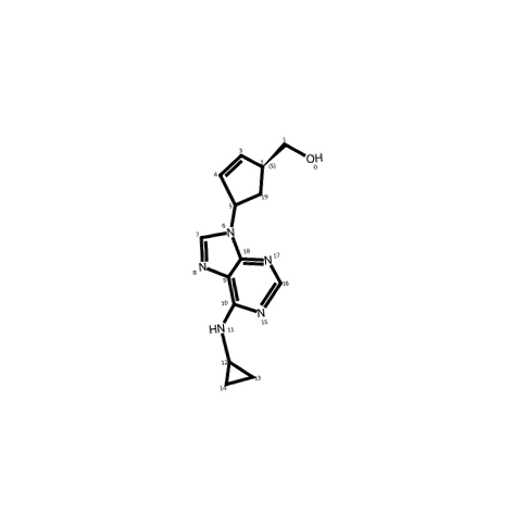 OC[C@@H]1C=CC(n2cnc3c(NC4CC4)ncnc32)C1